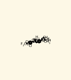 C[C@@H](Oc1ccc(C(O)C[C@H](Cc2ccc(-c3cn(C)c(C(C)(C)O)n3)cc2)C(N)=O)cc1Cl)C(F)(F)F